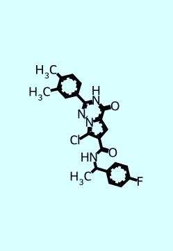 Cc1ccc(-c2nn3c(Cl)c(C(=O)NC(C)c4ccc(F)cc4)cc3c(=O)[nH]2)cc1C